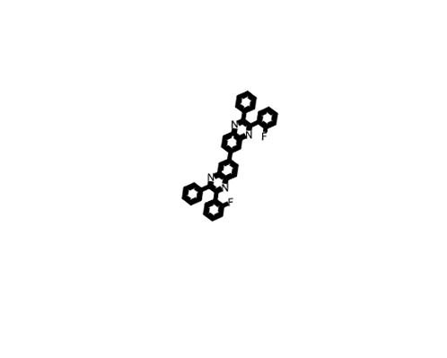 Fc1ccccc1-c1nc2ccc(-c3ccc4nc(-c5ccccc5)c(-c5ccccc5F)nc4c3)cc2nc1-c1ccccc1